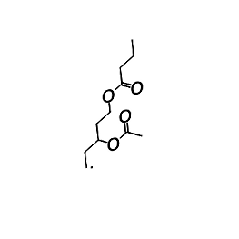 [CH2]CC(CCOC(=O)CCC)OC(C)=O